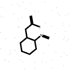 C=NC1CCCCC1CC(=C)I